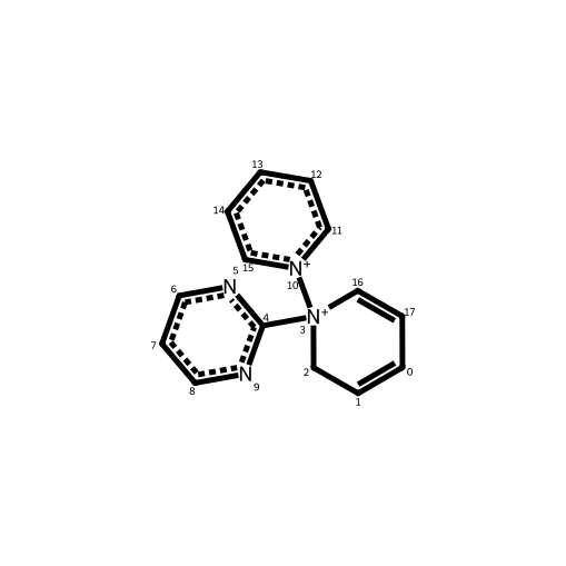 C1=CC[N+](c2ncccn2)([n+]2ccccc2)C=C1